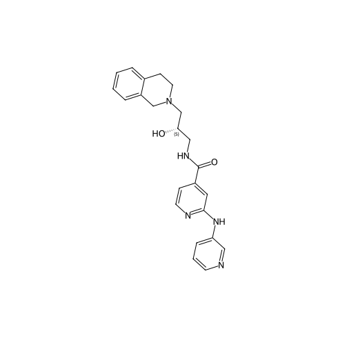 O=C(NC[C@H](O)CN1CCc2ccccc2C1)c1ccnc(Nc2cccnc2)c1